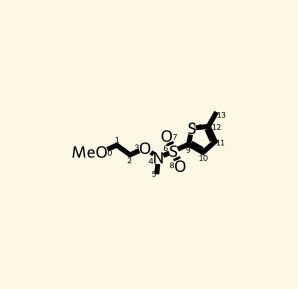 COCCON(C)S(=O)(=O)c1ccc(C)s1